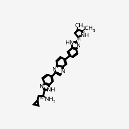 C[C@@H]1C[C@@H](c2nc3ccc(-c4ccc5nc(-c6ccc7nc([C@@H](N)CC8CC8)[nH]c7c6)cnc5c4)cc3[nH]2)N[C@@H]1C